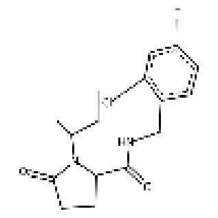 CCC(C)N1C(=O)CCC1C(=O)NCc1ccc(F)cc1Cl